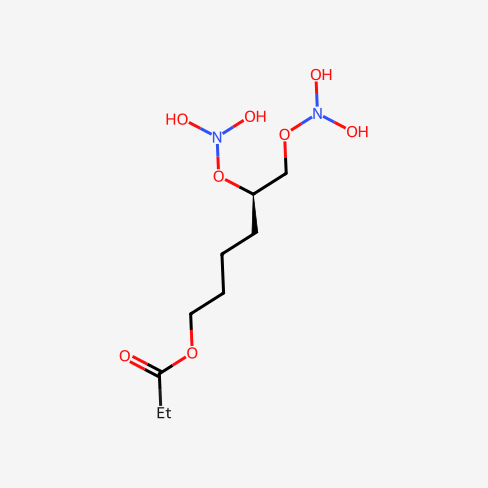 CCC(=O)OCCCC[C@H](CON(O)O)ON(O)O